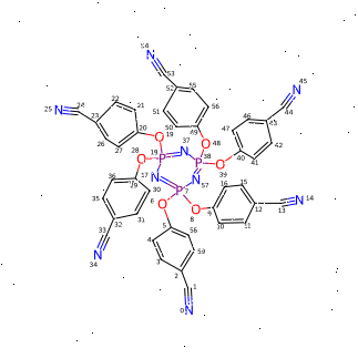 N#Cc1ccc(OP2(Oc3ccc(C#N)cc3)=NP(Oc3ccc(C#N)cc3)(Oc3ccc(C#N)cc3)=NP(Oc3ccc(C#N)cc3)(Oc3ccc(C#N)cc3)=N2)cc1